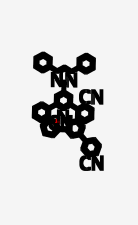 N#Cc1cccc(-c2ccc3c(c2)c2ccccc2n3-c2c(-c3ccccc3C#N)cc(-c3nc(-c4ccccc4)cc(-c4ccccc4)n3)cc2-c2ccccc2C#N)c1